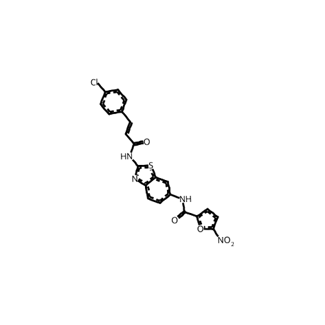 O=C(C=Cc1ccc(Cl)cc1)Nc1nc2ccc(NC(=O)c3ccc([N+](=O)[O-])o3)cc2s1